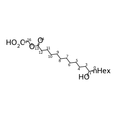 CCCCCC[C@@H](O)CCCCCCCCCCC(=O)OCC(=O)O